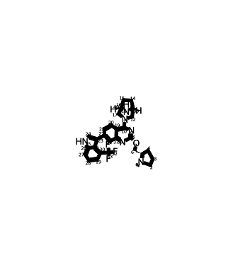 CN1CCC[C@H]1COc1nc(N2C[C@H]3CC[C@@H](C2)N3)c2ccc(-c3c[nH]c4cccc(C(F)(F)F)c34)cc2n1